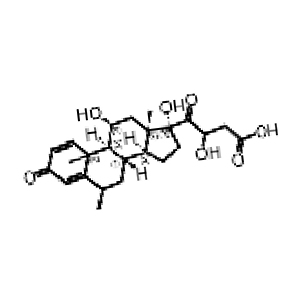 CC1C[C@@H]2[C@H]([C@@H](O)C[C@@]3(C)[C@H]2CC[C@]3(O)C(=O)C(O)CC(=O)O)[C@@]2(C)C=CC(=O)C=C12